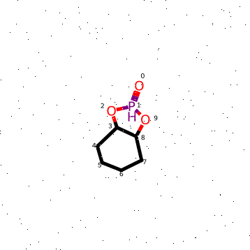 O=[PH]1OC2CCCCC2O1